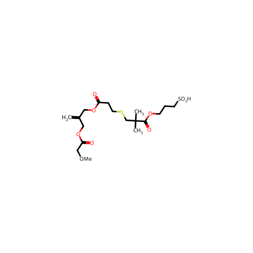 C=C(COC(=O)CCSCC(C)(C)C(=O)OCCCS(=O)(=O)O)COC(=O)COC